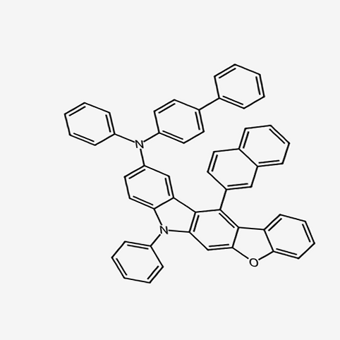 c1ccc(-c2ccc(N(c3ccccc3)c3ccc4c(c3)c3c(-c5ccc6ccccc6c5)c5c(cc3n4-c3ccccc3)oc3ccccc35)cc2)cc1